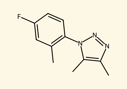 Cc1cc(F)ccc1-n1nnc(C)c1C